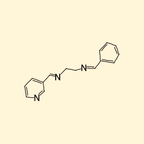 C(=NCCN=Cc1cccnc1)c1ccccc1